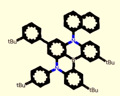 CC(C)(C)c1ccc(N2c3ccc(C(C)(C)C)cc3B3c4cc(C(C)(C)C)ccc4N(c4cccc5ccccc45)c4cc(-c5cccc(C(C)(C)C)c5)cc2c43)cc1